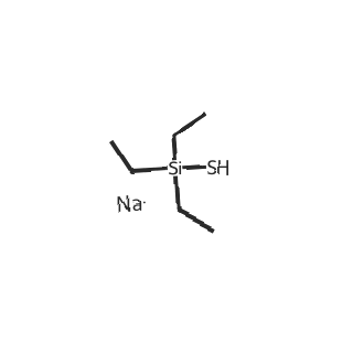 CC[Si](S)(CC)CC.[Na]